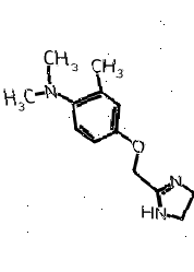 Cc1cc(OCC2=NCCN2)ccc1N(C)C